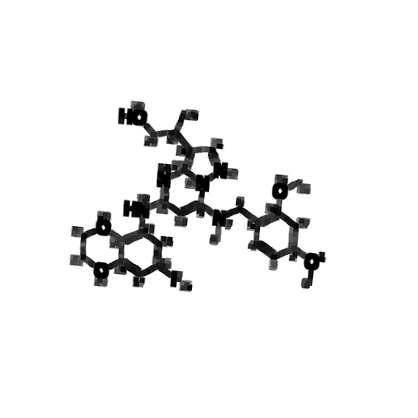 COc1ccc(CN(C)c2cc(Nc3cc(F)cc4c3OCCO4)nc3c(C(C)CO)cnn23)c(OC)c1